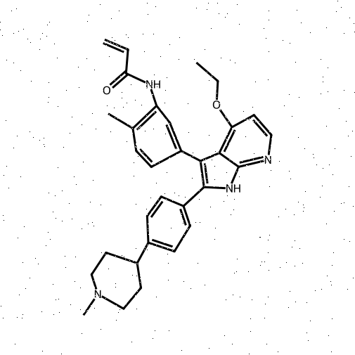 C=CC(=O)Nc1cc(-c2c(-c3ccc(C4CCN(C)CC4)cc3)[nH]c3nccc(OCC)c23)ccc1C